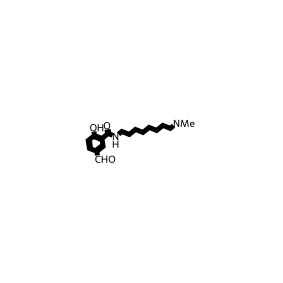 CNCCCCCCCCNC(=O)c1cc(C=O)ccc1O